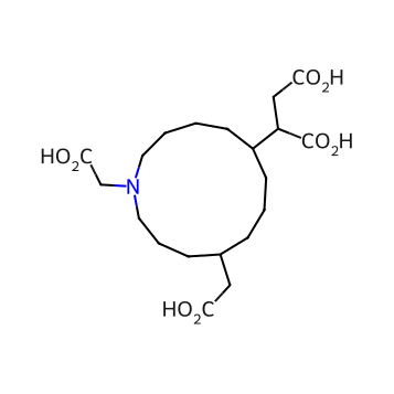 O=C(O)CC1CCCC(C(CC(=O)O)C(=O)O)CCCCN(CC(=O)O)CCC1